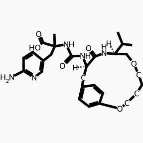 CC(C)[C@H]1COCCCCOc2ccc(cc2)C[C@@H](NC(=O)NC(C)(Cc2ccc(N)nc2)C(=O)O)C(=O)N1